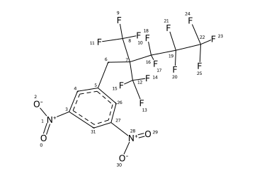 O=[N+]([O-])c1cc(CC(C(F)(F)F)(C(F)(F)F)C(F)(F)C(F)(F)C(F)(F)F)cc([N+](=O)[O-])c1